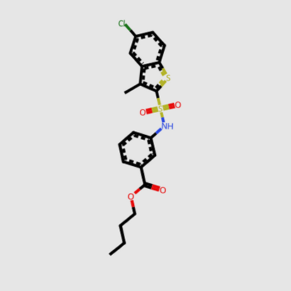 CCCCOC(=O)c1cccc(NS(=O)(=O)c2sc3ccc(Cl)cc3c2C)c1